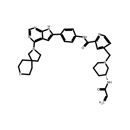 C=CC(=O)N[C@@H]1CCCN(Cc2ccnc(C(=O)Nc3ccc(-c4cc5c(N6CCC7(CCOCC7)C6)ncnc5[nH]4)cc3)c2)C1